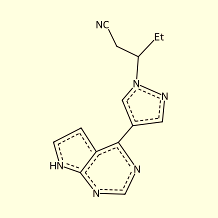 CCC(CC#N)n1cc(-c2ncnc3[nH]ccc23)cn1